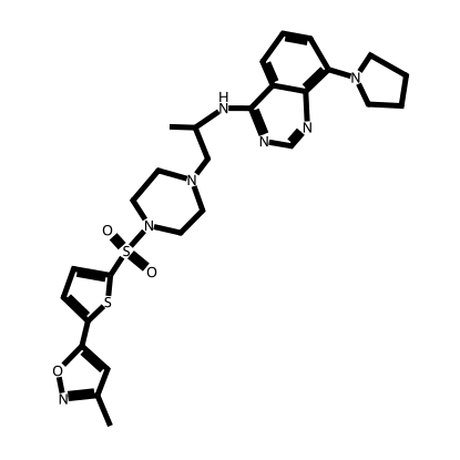 Cc1cc(-c2ccc(S(=O)(=O)N3CCN(CC(C)Nc4ncnc5c(N6CCCC6)cccc45)CC3)s2)on1